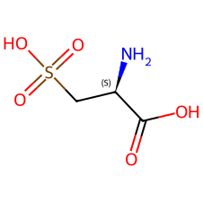 N[C@H](CS(=O)(=O)O)C(=O)O